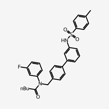 CCCCC(=O)N(Cc1ccc(-c2cccc(NS(=O)(=O)c3ccc(C)cc3)c2)cc1)c1cccc(F)c1